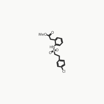 COC(=O)Cc1ccccc1NS(=O)(=O)CCc1ccc(Cl)cc1